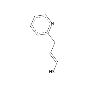 SC=CCc1ccccn1